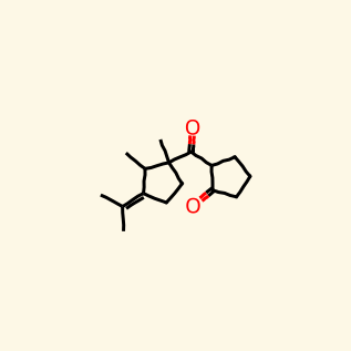 CC(C)=C1CCC(C)(C(=O)C2CCCC2=O)C1C